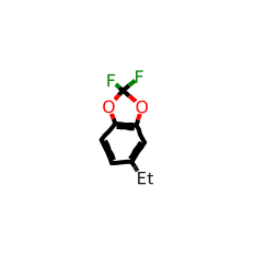 CCc1ccc2c(c1)OC(F)(F)O2